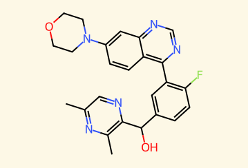 Cc1cnc(C(O)c2ccc(F)c(-c3ncnc4cc(N5CCOCC5)ccc34)c2)c(C)n1